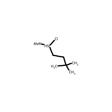 CN[SiH](Cl)CCC(C)(C)C